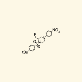 CC(C)(C)c1ccc(S(=O)(=O)N2CCN(c3ccc([N+](=O)[O-])cc3)CC2CF)cc1